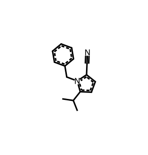 CC(C)c1ccc(C#N)n1Cc1ccccc1